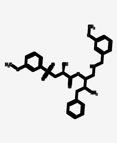 COc1cccc(CNCC(OC(=O)[C@H](O)CS(=O)(=O)c2cccc(OC)c2)C(N)Cc2ccccc2)c1